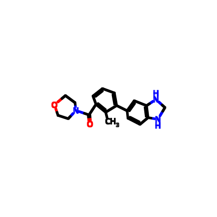 Cc1c(C(=O)N2CCOCC2)cccc1-c1ccc2c(c1)NCN2